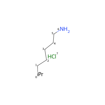 CC(C)CCCCCN.Cl